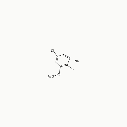 CC(=O)OOc1cc(Cl)ccc1C.[Na]